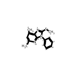 CSc1nc2c(C)cc(C)nc2n1-c1c[c]ccc1